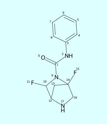 O=C(Nc1ccccc1)N1C(F)C2CC1(F)CN2